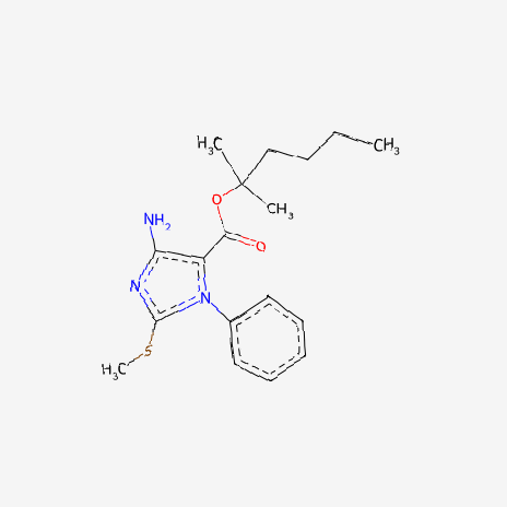 CCCCC(C)(C)OC(=O)c1c(N)nc(SC)n1-c1ccccc1